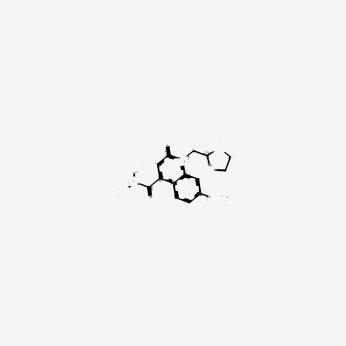 COc1ccc2c(C(=O)N(C)C)cc(=O)n(CC3OCCO3)c2c1